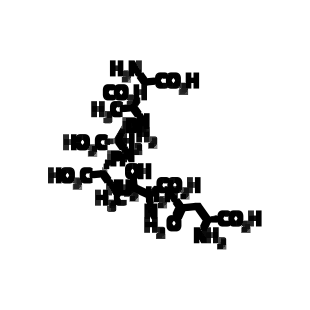 CC(C)[C@H](N)C(=O)O.CC[C@H](C)[C@H](N)C(=O)O.C[C@@H](O)[C@H](N)C(=O)O.C[C@H](N)C(=O)O.NC(=O)C[C@H](N)C(=O)O.NCC(=O)O